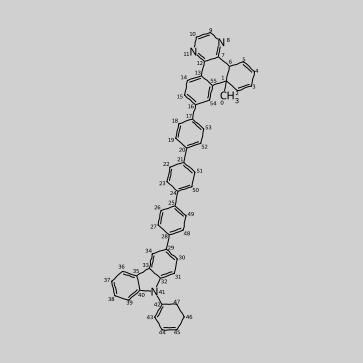 CC12C=CC=CC1c1nccnc1-c1ccc(-c3ccc(-c4ccc(-c5ccc(-c6ccc7c(c6)c6ccccc6n7C6=CC=CCC6)cc5)cc4)cc3)cc12